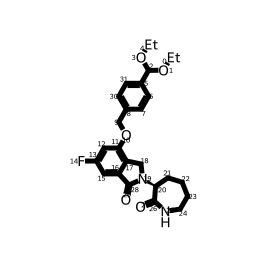 CCOC(OCC)c1ccc(COc2cc(F)cc3c2CN([C@H]2CCCCNC2=O)C3=O)cc1